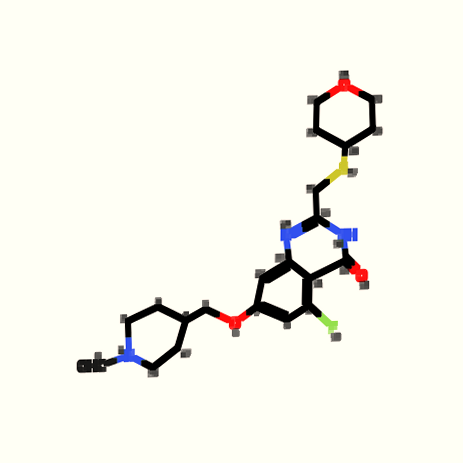 O=CN1CCC(COc2cc(F)c3c(=O)[nH]c(CSC4CCOCC4)nc3c2)CC1